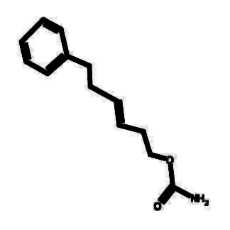 NC(=O)OCC/C=C/CCc1ccccc1